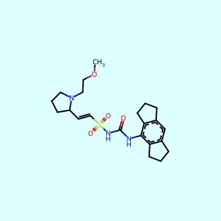 COCCN1CCCC1/C=C/S(=O)(=O)NC(=O)Nc1c2c(cc3c1CCC3)CCC2